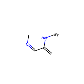 C=C(/C=N\C)NC(C)C